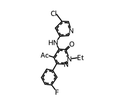 CCn1nc(-c2cccc(F)c2)c(C(C)=O)c(Nc2cncc(Cl)c2)c1=O